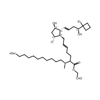 CCCCCCCCCCCCCCCCCCCCN(C)C(CCC=CC[C@@H]1[C@@H](C=CC[C@H](O)C2(CC)CCC2)[C@H](O)C[C@H]1Cl)C(=O)OCC=O